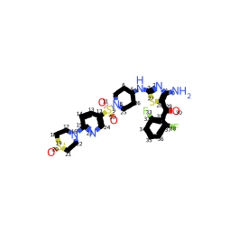 Nc1nc(NC2CCN(S(=O)(=O)c3ccc(N4CC[S+]([O-])CC4)nc3)CC2)sc1C(=O)c1c(F)cccc1F